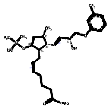 COC(=O)CCC/C=C\C[C@@H]1[C@@H](/C=C/[C@@H](O)COc2cccc(C(F)(F)F)c2)[C@H](C)C[C@@H]1O[Si](C)(C)C(C)(C)C